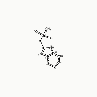 CS(=O)(=O)Cc1nc2cccnc2[nH]1